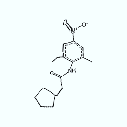 Cc1cc([N+](=O)[O-])cc(C)c1NC(=O)CC1CCCC1